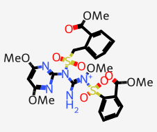 COC(=O)c1ccccc1CS(=O)(=O)N(C(N)=[N+](OC)S(=O)(=O)c1ccccc1C(=O)OC)c1nc(OC)cc(OC)n1